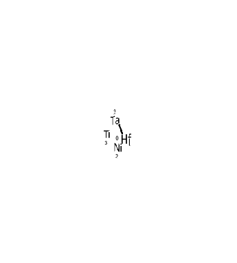 [Hf][Ta].[Ni].[Ti]